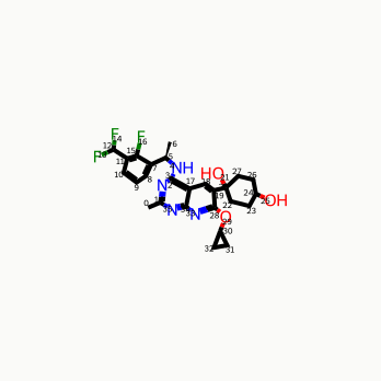 Cc1nc(N[C@H](C)c2cccc(C(F)F)c2F)c2cc(C3(O)CCC(O)CC3)c(OC3CC3)nc2n1